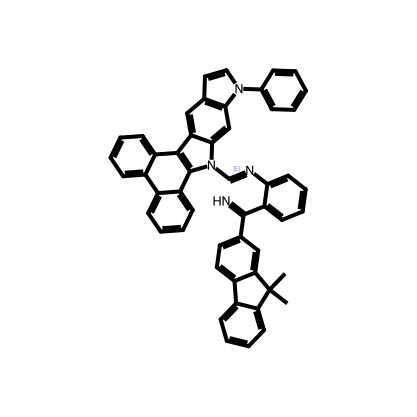 CC1(C)c2ccccc2-c2ccc(C(=N)c3ccccc3/N=C/n3c4cc5c(ccn5-c5ccccc5)cc4c4c5ccccc5c5ccccc5c43)cc21